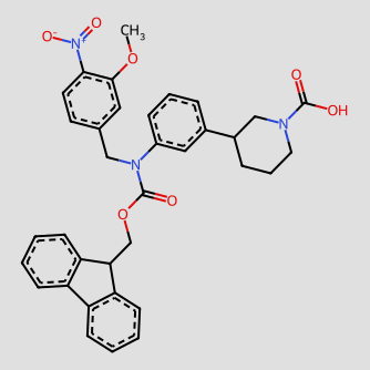 COc1cc(CN(C(=O)OCC2c3ccccc3-c3ccccc32)c2cccc(C3CCCN(C(=O)O)C3)c2)ccc1[N+](=O)[O-]